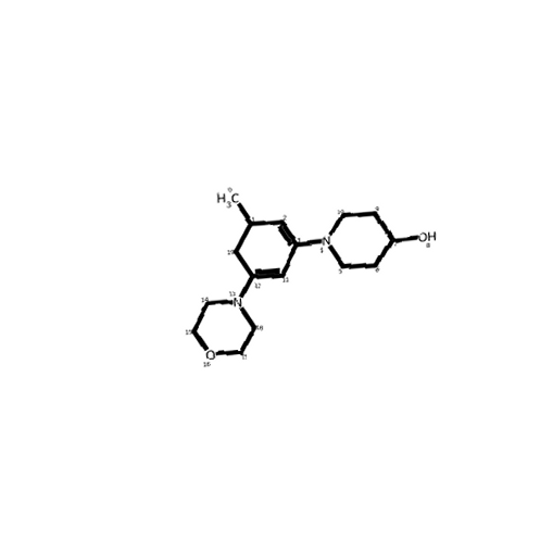 CC1C=C(N2CCC(O)CC2)C=C(N2CCOCC2)C1